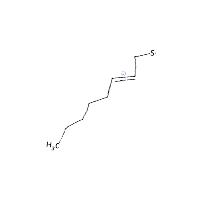 CCCCC/C=C/C[S]